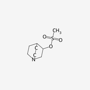 CS(=O)(=O)OC1CN2CCC1CC2